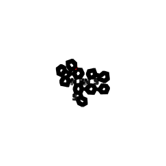 c1ccc(-c2ccc3c(c2)N(c2cccc4c2sc2ccccc24)B2c4cccc5c4N(c4ccccc4C5(c4ccccc4)c4ccccc4)c4cc5sc6ccccc6c5c-3c42)cc1